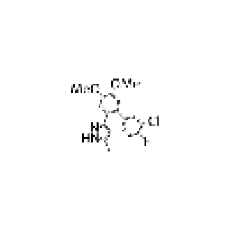 COc1cc(-c2ccc(F)c(Cl)c2)c(-c2cc(C)[nH]n2)cc1OC